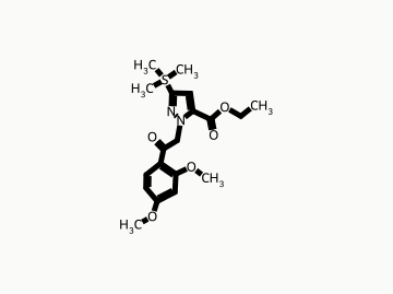 CCOC(=O)c1cc(S(C)(C)C)nn1CC(=O)c1ccc(OC)cc1OC